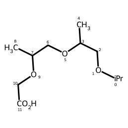 CC(C)OCC(C)OCC(C)OCC(=O)O